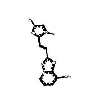 COc1cccn2nc(/C=C/c3nc(Br)cn3C)nc12